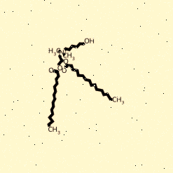 CCCCCCCCCCCCCCCC(=O)OCC(C[N+](C)(C)CCCCCCO)OC(=O)CCCCCCCCCCCCCCC